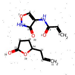 C=CC(=O)Nc1co[nH]c1=O.C=CCC1CCC(=O)O1